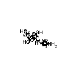 Nc1ccc(NCCN(CCN(CC(=O)O)CC(=O)O)CC(=O)O)cc1